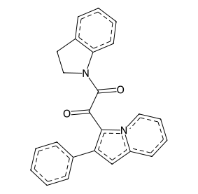 O=C(C(=O)N1CCc2ccccc21)c1c(-c2ccccc2)cc2ccccn12